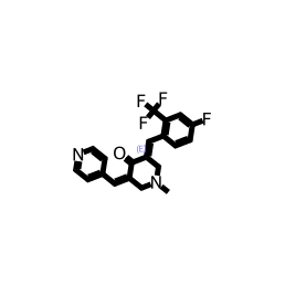 CN1CC(=Cc2ccncc2)C(=O)/C(=C/c2ccc(F)cc2C(F)(F)F)C1